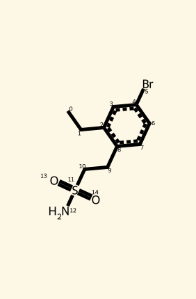 CCc1cc(Br)ccc1CCS(N)(=O)=O